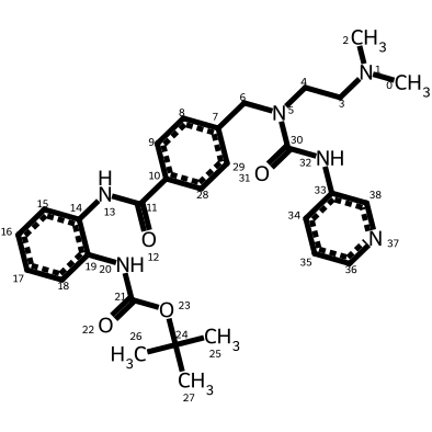 CN(C)CCN(Cc1ccc(C(=O)Nc2ccccc2NC(=O)OC(C)(C)C)cc1)C(=O)Nc1cccnc1